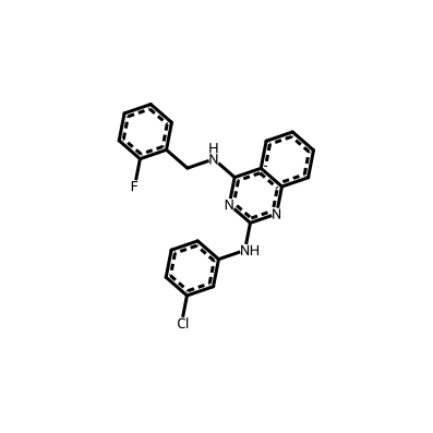 Fc1ccccc1CNc1nc(Nc2cccc(Cl)c2)nc2ccccc12